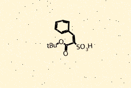 CC(C)(C)OC(=O)C(=Cc1ccccc1)S(=O)(=O)O